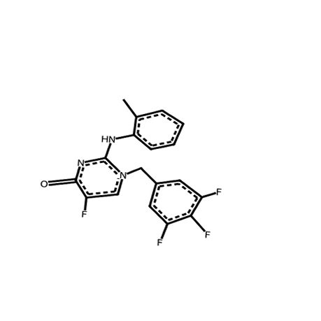 Cc1ccccc1Nc1nc(=O)c(F)cn1Cc1cc(F)c(F)c(F)c1